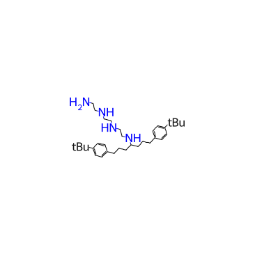 CC(C)(C)c1ccc(CCCC(CCCc2ccc(C(C)(C)C)cc2)NCCNCCNCCN)cc1